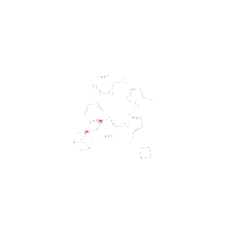 Cc1cc(Nc2cc(C)[nH]n2)nc(-c2ccc(N3CC4CC(C3)N4Cc3ccc(-n4nccc4OC4CCC4)nc3)nc2)n1